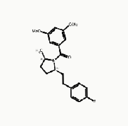 COc1cc(OC)cc(C(=O)N2[C@@H](CCc3ccc(F)cc3)CC[C@H]2C)c1